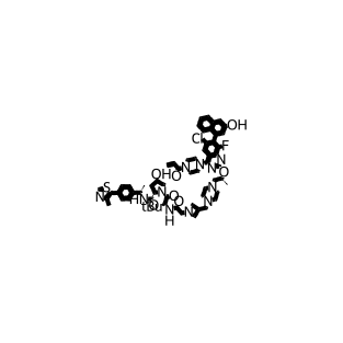 C=CC(=O)N1CCN(c2nc(O[C@H](C)CN3CCN(CC4CN(CC(=O)N[C@H](C(=O)N5C[C@H](O)C[C@H]5C(=O)N[C@@H](C)c5ccc(-c6scnc6C)cc5)C(C)(C)C)C4)CC3)nc3c(F)c(-c4cc(O)cc5ccccc45)c(Cl)cc23)CC1